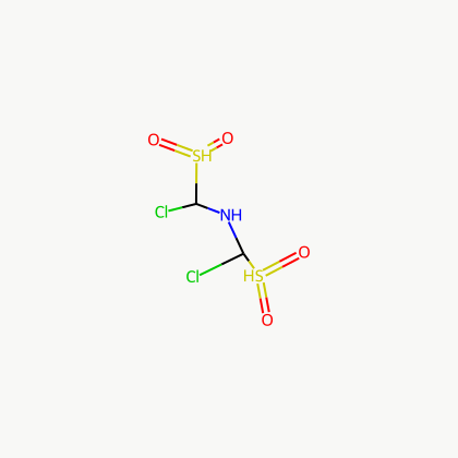 O=[SH](=O)C(Cl)NC(Cl)[SH](=O)=O